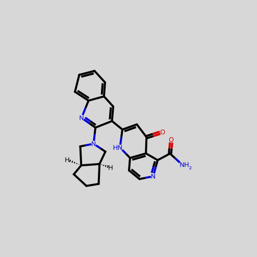 NC(=O)c1nccc2[nH]c(-c3cc4ccccc4nc3N3C[C@H]4CCC[C@H]4C3)cc(=O)c12